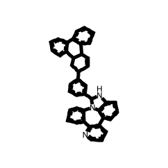 C1=CC2c3ccccc3-c3ccccc3C2CC1c1cccc(C2Nc3cccc4c3N2c2ccccc2-c2ncccc2-4)c1